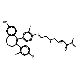 Cc1cc(F)ccc1C1=C(c2ccc(OCCNC/C=C/C(=O)N(C)C)c(F)c2)c2ccc(O)cc2CCC1